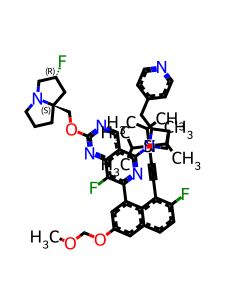 COCOc1cc(-c2nc(N3CCC3Cc3ccncc3)c3cnc(OC[C@@]45CCCN4C[C@H](F)C5)nc3c2F)c2c(C#C[Si](C(C)C)(C(C)C)C(C)C)c(F)ccc2c1